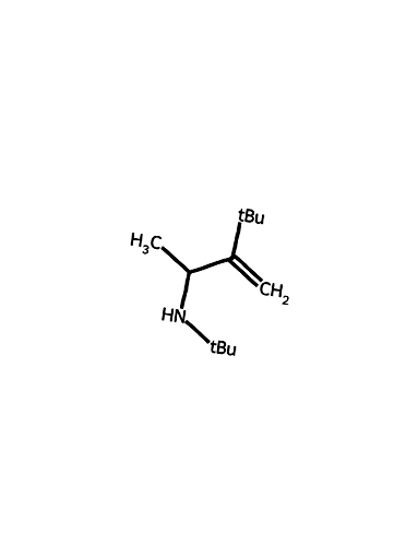 C=C(C(C)NC(C)(C)C)C(C)(C)C